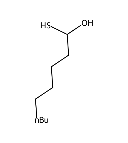 CCCCCCCCC(O)S